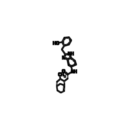 CC1CC2CCC=C(C2)C1CC(=O)Nc1ccc2[nH]c(Cc3ccccc3O)nc2c1